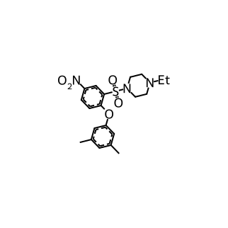 CCN1CCN(S(=O)(=O)c2cc([N+](=O)[O-])ccc2Oc2cc(C)cc(C)c2)CC1